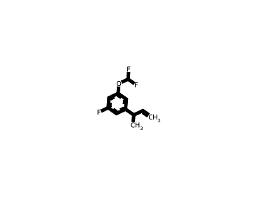 C=C[C](C)c1cc(F)cc(OC(F)F)c1